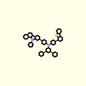 c1ccc(-c2cc(-c3ccccc3)cc(N(c3ccc(-c4ccc5c6ccc7ccccc7c6n(-c6ccccc6)c5c4)cc3)c3ccc(-c4cccc5c4sc4ccccc45)cc3)c2)cc1